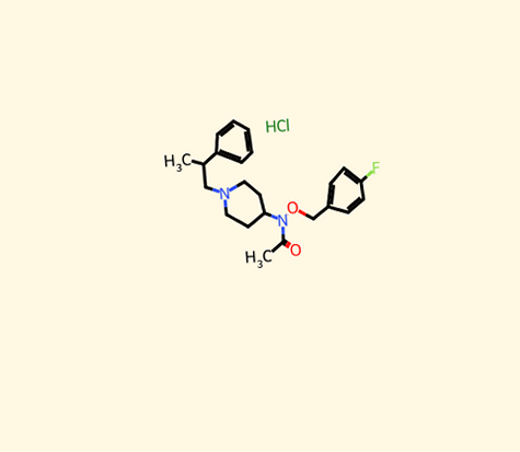 CC(=O)N(OCc1ccc(F)cc1)C1CCN(CC(C)c2ccccc2)CC1.Cl